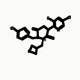 O=C1[C@@H](CC2COC2)N(Cc2ccc(Cl)cc2)C(=O)CN1c1ncc(Cl)cc1F